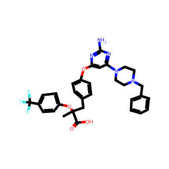 CC(Cc1ccc(Oc2cc(N3CCN(Cc4ccccc4)CC3)nc(N)n2)cc1)(Oc1ccc(C(F)(F)F)cc1)C(=O)O